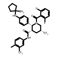 BC1(Nc2ccc([C@H]3[C@@H](C(=O)Nc4ccc(C)c(C(F)(F)F)c4)C[C@@H](C(F)(F)F)CN3C(=O)c3c(F)cccc3F)cc2)CCCC1